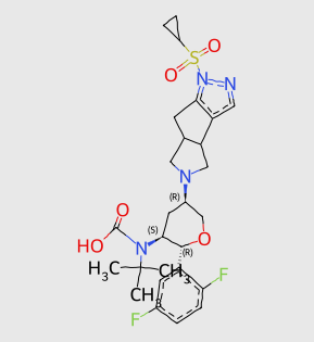 CC(C)(C)N(C(=O)O)[C@H]1C[C@@H](N2CC3Cc4c(cnn4S(=O)(=O)C4CC4)C3C2)CO[C@@H]1c1cc(F)ccc1F